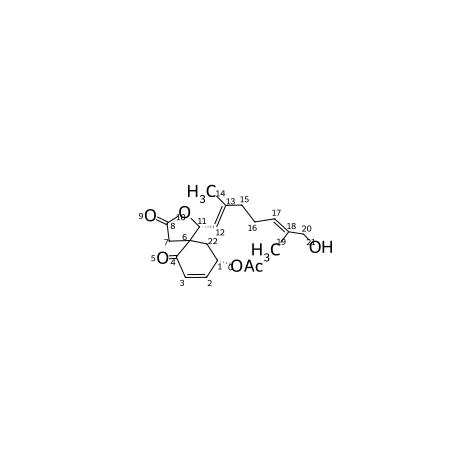 CC(=O)O[C@@H]1C=CC(=O)C2(CC(=O)O[C@@H]2/C=C(\C)CC/C=C(\C)CO)C1